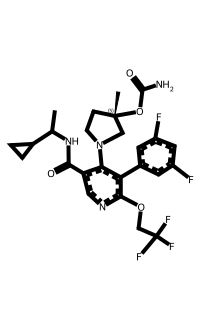 CC(NC(=O)c1cnc(OCC(F)(F)F)c(-c2cc(F)cc(F)c2)c1N1CC[C@](C)(OC(N)=O)C1)C1CC1